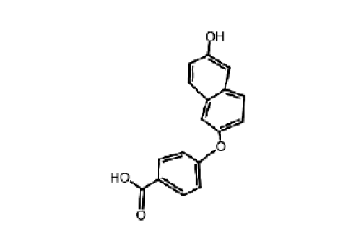 O=C(O)c1ccc(Oc2ccc3cc(O)ccc3c2)cc1